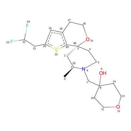 C[C@H]1C[C@@]2(CCN1CC1(O)CCOCC1)OCCc1cc(CC(F)F)sc12